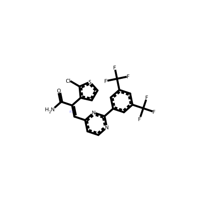 NC(=O)/C(=C/c1ccnc(-c2cc(C(F)(F)F)cc(C(F)(F)F)c2)n1)c1ccsc1Cl